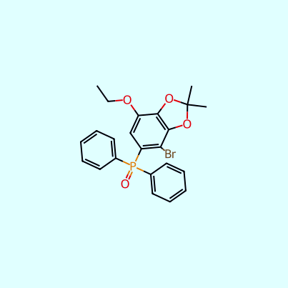 CCOc1cc(P(=O)(c2ccccc2)c2ccccc2)c(Br)c2c1OC(C)(C)O2